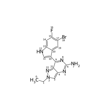 CCn1cc2nc(N)nc(-c3c[nH]c4cc(F)c(Br)cc34)c2n1